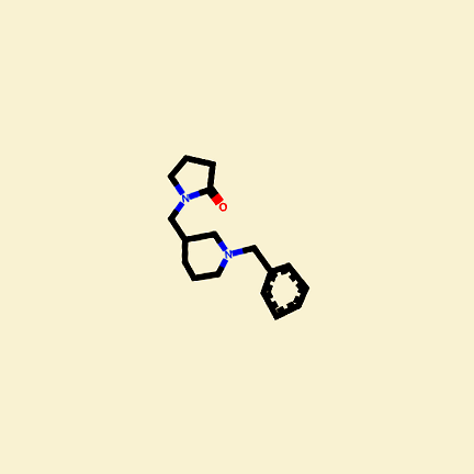 O=C1CCCN1CC1CCCN(Cc2ccccc2)C1